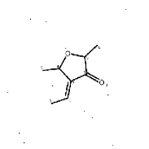 C/C=C1/C(=O)C(C)OC1C